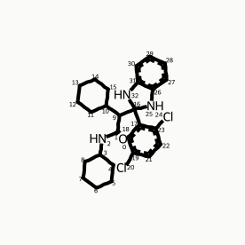 O=C(NC1CCCCC1)C(C1CCCCC1)C1(c2cc(Cl)ccc2Cl)Nc2ccccc2N1